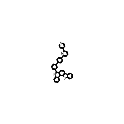 c1cc(-c2ccc(-c3cccc(-c4ccncc4)n3)cc2)cc(-c2nc3ccccc3c3c2ccc2c4ccccc4sc23)c1